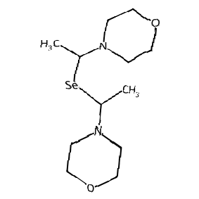 CC([Se]C(C)N1CCOCC1)N1CCOCC1